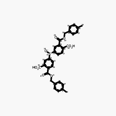 Cc1ccc(COC(=O)c2ccc([S+]([O-])c3ccc(C(=O)O)c(C(=O)OCc4ccc(C)cc4)c3)cc2C(=O)O)cc1